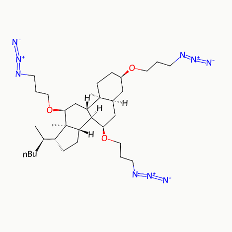 CCCC[C@@H](C)[C@H]1CC[C@H]2[C@@H]3[C@H](OCCCN=[N+]=[N-])C[C@@H]4C[C@H](OCCCN=[N+]=[N-])CC[C@]4(C)[C@H]3C[C@H](OCCCN=[N+]=[N-])[C@]12C